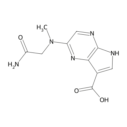 CN(CC(N)=O)c1cnc2[nH]cc(C(=O)O)c2n1